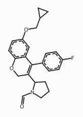 O=CN1CCCC1C1=C(c2ccc(F)cc2)c2cc(OCC3CC3)ccc2OC1